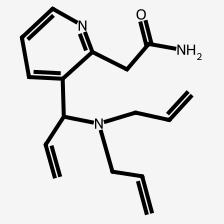 C=CCN(CC=C)C(C=C)c1cccnc1CC(N)=O